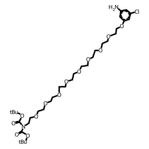 CC(C)(C)OC(=O)N(CCOCCOCCOCCOCCOCCOCCOCCOCCOc1cc(N)cc(Cl)c1)C(=O)OC(C)(C)C